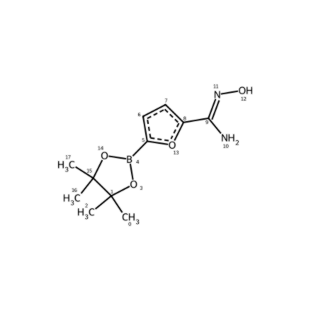 CC1(C)OB(c2ccc(/C(N)=N/O)o2)OC1(C)C